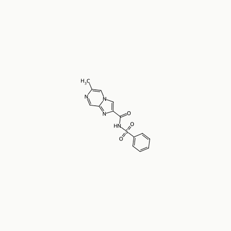 Cc1cn2cc(C(=O)NS(=O)(=O)c3ccccc3)nc2cn1